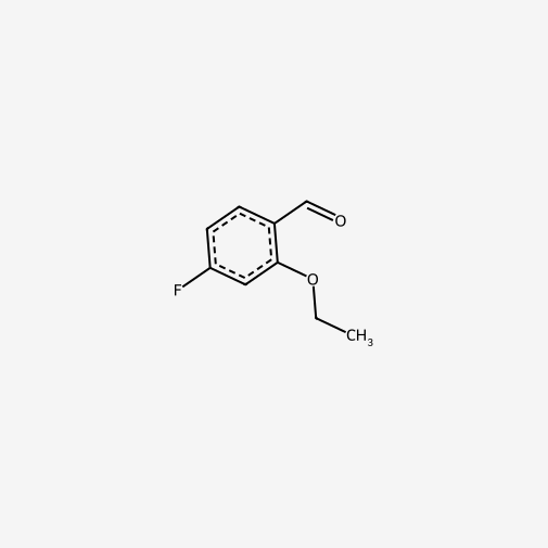 CCOc1cc(F)ccc1C=O